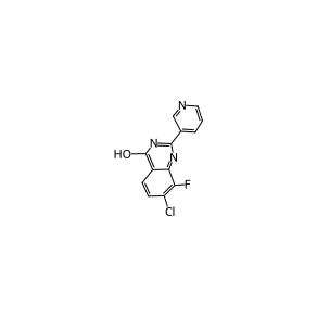 Oc1nc(-c2cccnc2)nc2c(F)c(Cl)ccc12